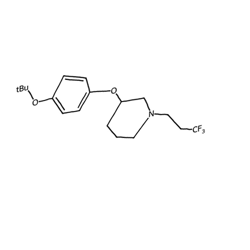 CC(C)(C)Oc1ccc(OC2CCCN(CCC(F)(F)F)C2)cc1